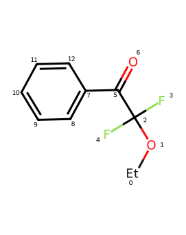 CCOC(F)(F)C(=O)c1ccccc1